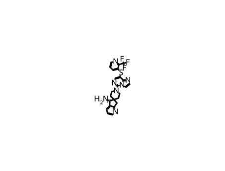 N[C@@H]1c2cccnc2CC12CCN(c1ncc(Sc3cccnc3C(F)(F)F)c3nccn13)CC2